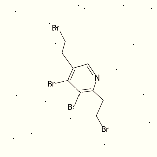 BrCCc1cnc(CCBr)c(Br)c1Br